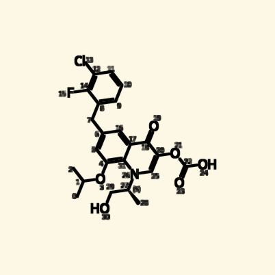 CC(C)Oc1cc(Cc2cccc(Cl)c2F)cc2c(=O)c(OC(=O)O)cn([C@@H](C)CO)c12